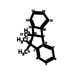 CC1(C)c2ccccc2C2c3ccccc3C21C